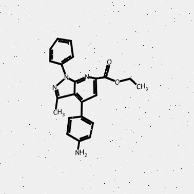 CCOC(=O)c1cc(-c2ccc(N)cc2)c2c(C)nn(-c3ccccc3)c2n1